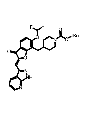 CC(C)(C)OC(=O)N1CCC(Cc2c(OC(F)F)ccc3c2O/C(=C\c2n[nH]c4ncccc24)C3=O)CC1